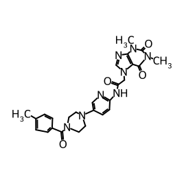 Cc1ccc(C(=O)N2CCN(c3ccc(NC(=O)Cn4cnc5c4c(=O)n(C)c(=O)n5C)nc3)CC2)cc1